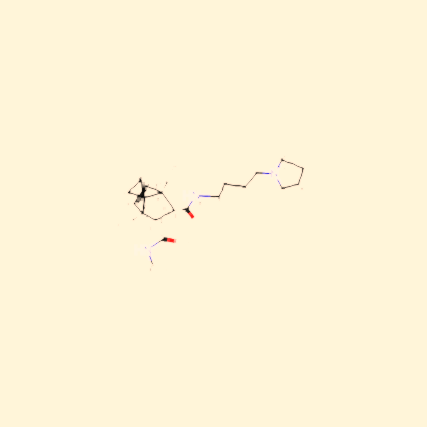 CCCCCNC(=O)[C@H]1[C@H](C(=O)NCCCCN2CCCC2)[C@H]2C=C[C@@H]1C21CC1